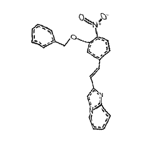 O=[N+]([O-])c1ccc(C=Cc2cn3ccccc3n2)cc1OCc1ccccc1